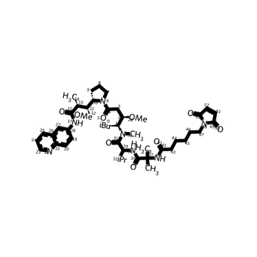 CC[C@H](C)[C@@H]([C@@H](CC(=O)N1CCC[C@H]1[C@H](OC)[C@@H](C)C(=O)Nc1ccc2ncccc2c1)OC)N(C)C(=O)C(NC(=O)C(C)(C)NC(=O)CCCCCN1C(=O)C=CC1=O)C(C)C